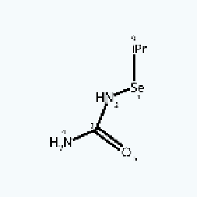 CC(C)[Se]NC(N)=O